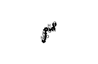 Cc1ccc(NC(=O)c2cncc(N3CCOCC3)c2)cc1-c1cc(C(=O)NCC2CCCO2)on1